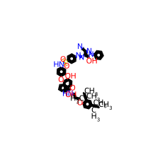 CCC(C)(C)c1ccc(OCCCNC(=O)C2C3C=CC24C(Oc2ccc(NS(=O)(=O)c5ccc(N=Nc6c(C#N)nn(-c7ccccc7)c6O)cc5)cc2)=C(O)C=CC4C3O)c(C(C)(C)CC)c1